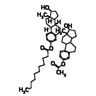 CC(=O)Oc1ccc2c(c1)CCC1C2CC[C@@]2(C)C1CC[C@@H]2O.CCCCCCCCCCC(=O)Oc1ccc2c(c1)CC[C@@H]1[C@@H]2CC[C@]2(C)[C@@H](O)CC[C@@H]12